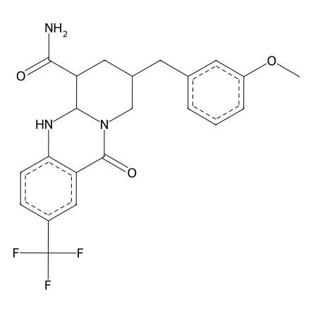 COc1cccc(CC2CC(C(N)=O)C3Nc4ccc(C(F)(F)F)cc4C(=O)N3C2)c1